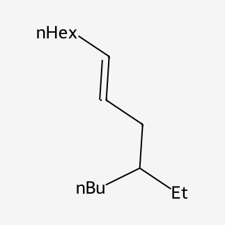 CCCCCC/C=[C]/CC(CC)CCCC